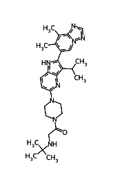 Cc1c(-c2[nH]c3ccc(N4CCN(C(=O)CNC(C)(C)C)CC4)nc3c2C(C)C)cn2ncnc2c1C